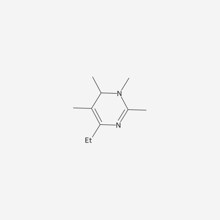 CCC1=C(C)C(C)N(C)C(C)=N1